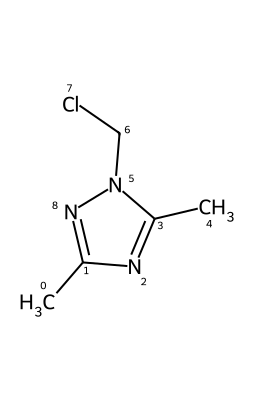 Cc1nc(C)n(CCl)n1